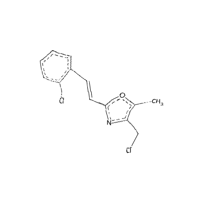 Cc1oc(/C=C/c2ccccc2Cl)nc1CCl